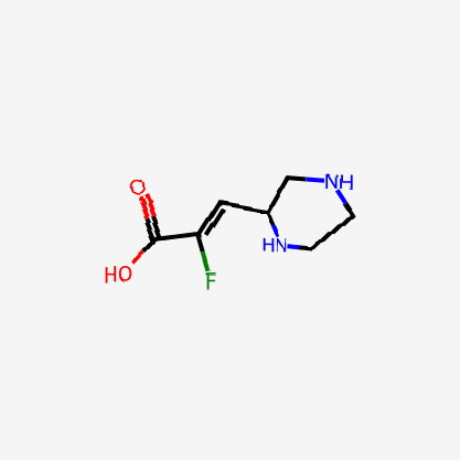 O=C(O)/C(F)=C/C1CNCCN1